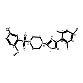 COc1ccc(Cl)cc1S(=O)(=O)N1CCN(c2nc(-c3c(C)cc(C)cc3C)cs2)CC1